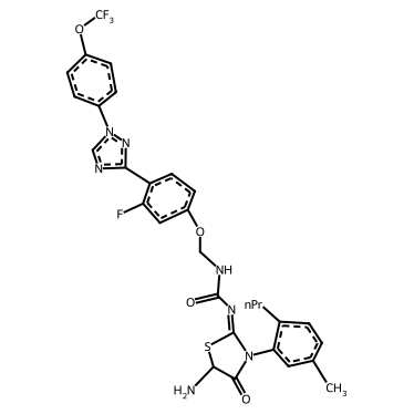 CCCc1ccc(C)cc1N1C(=O)C(N)S/C1=N\C(=O)NCOc1ccc(-c2ncn(-c3ccc(OC(F)(F)F)cc3)n2)c(F)c1